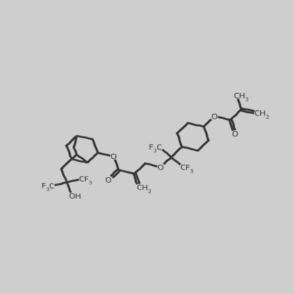 C=C(C)C(=O)OC1CCC(C(OCC(=C)C(=O)OC2CC3CCC2C(CC(O)(C(F)(F)F)C(F)(F)F)C3)(C(F)(F)F)C(F)(F)F)CC1